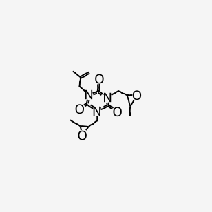 C=C(C)Cn1c(=O)n(CC2OC2C)c(=O)n(CC2OC2C)c1=O